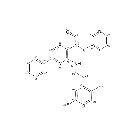 O=CN(Cc1cccnc1)c1ccc(-c2ccccc2)nc1NCCc1cc(F)ccc1F